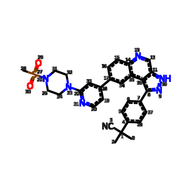 CC(C)(C#N)c1ccc(-c2n[nH]c3cnc4ccc(-c5ccnc(N6CCN(S(C)(=O)=O)CC6)c5)cc4c23)cc1